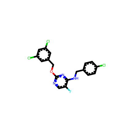 Fc1cnc(OCc2cc(Cl)cc(Cl)c2)nc1NCc1ccc(Cl)cc1